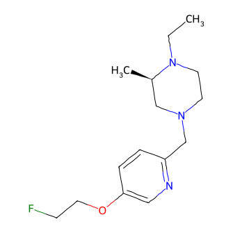 CCN1CCN(Cc2ccc(OCCF)cn2)C[C@H]1C